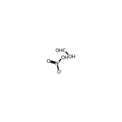 O=CO.O=[N+]([O-])O